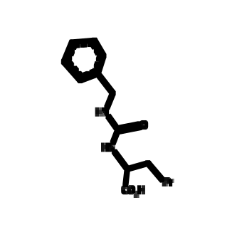 CC(C)CC(NC(=O)NCc1ccccc1)C(=O)O